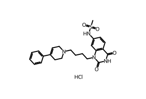 CS(=O)(=O)Nc1ccc2c(=O)[nH]c(=O)n(CCCCN3CC=C(c4ccccc4)CC3)c2c1.Cl